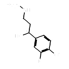 O=C(O)NCCC(O)c1ccc(C(F)(F)F)c(F)c1